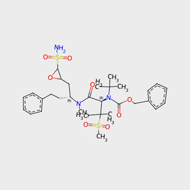 CN(C(=O)[C@@H](N(C(=O)OCc1ccccc1)C(C)(C)C)C(C)(C)S(C)(=O)=O)[C@H](CCc1ccccc1)CC1OC1S(N)(=O)=O